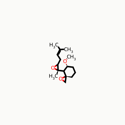 CO[C@@H]1CCC[C@]2(CO2)C1[C@]1(C)OC1CC=C(C)C